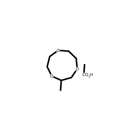 CC(=O)O.CC1COCCOCCO1